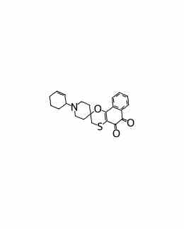 O=C1C(=O)c2ccccc2C2=C1SCC1(CCN(C3C=CCCC3)CC1)O2